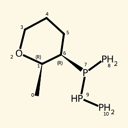 C[C@H]1OCCC[C@H]1P(P)PP